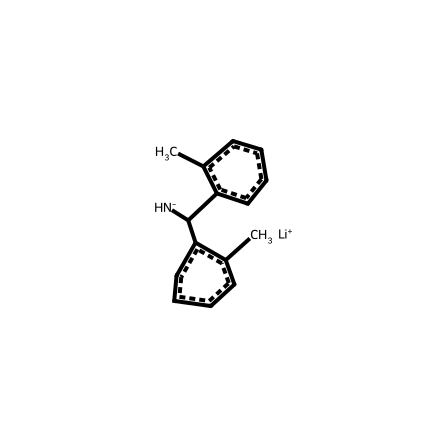 Cc1ccccc1C([NH-])c1ccccc1C.[Li+]